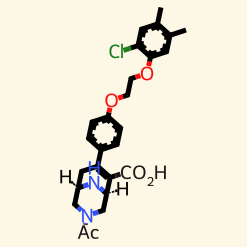 CC(=O)N1C[C@H]2CC(c3ccc(OCCOc4cc(C)c(C)cc4Cl)cc3)=C(C(=O)O)[C@@H](C1)N2